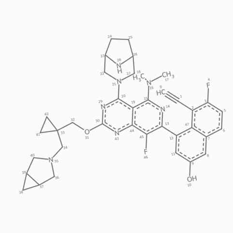 C#Cc1c(F)ccc2cc(O)cc(-c3nc(N(C)C)c4c(N5CC6CCC(C5)N6)nc(OCC5(CN6CC7CC7C6)CC5)nc4c3F)c12